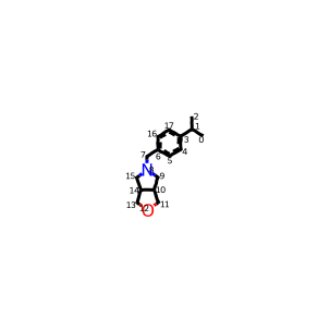 CC(C)c1ccc(CN2CC3COCC3C2)cc1